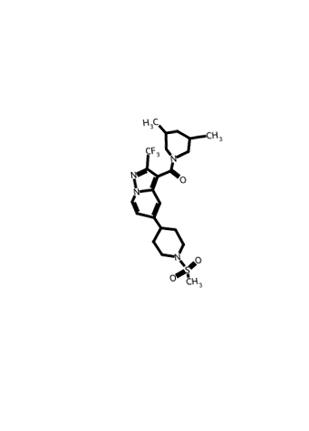 CC1CC(C)CN(C(=O)c2c(C(F)(F)F)nn3ccc(C4CCN(S(C)(=O)=O)CC4)cc23)C1